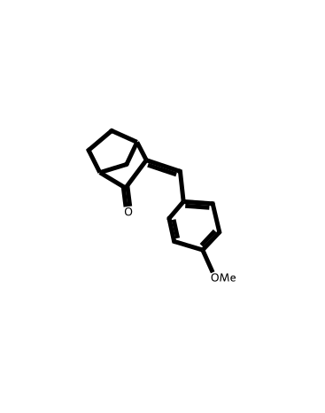 COc1ccc(C=C2C(=O)C3CCC2C3)cc1